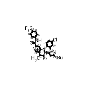 CC(C(=O)N(C)c1cc(C(C)(C)C)nn1-c1cccc(Cl)c1)c1ccc(C(=O)Nc2ccc(C(F)(F)F)cc2)nc1